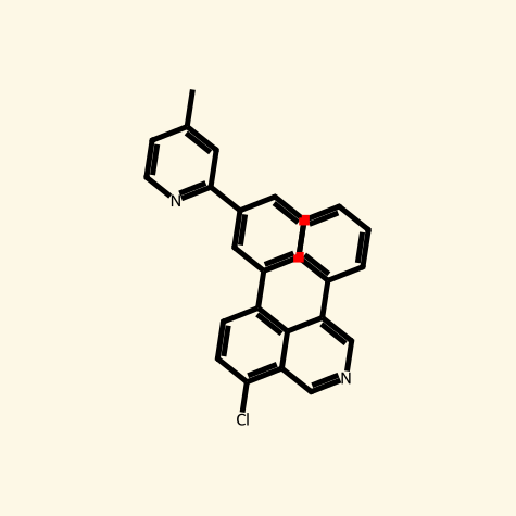 Cc1ccnc(-c2cccc(-c3ccc(Cl)c4cncc(-c5ccccc5)c34)c2)c1